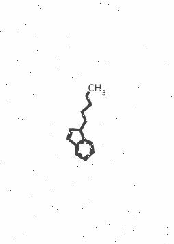 CCCCCC1C=Cc2ccccc21